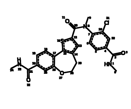 CNC(=O)c1ccc(N(C)C(=O)c2cc3c(s2)-c2ccc(C(=O)NC)cc2OCC3)c(Cl)c1